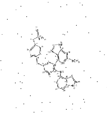 Cc1nc(-c2cc(Cc3ccc(C[SH](=O)=O)cc3)cnc2Nc2cccc3[nH]ncc23)c2nc[nH]c2n1